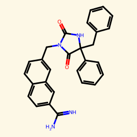 N=C(N)c1ccc2ccc(CN3C(=O)NC(Cc4ccccc4)(c4ccccc4)C3=O)cc2c1